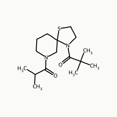 CC(C)C(=O)N1CCCC2(C1)SCCN2C(=O)C(C)(C)C